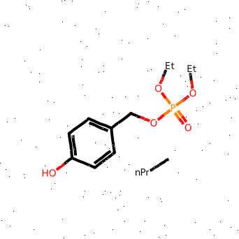 CCCC.CCOP(=O)(OCC)OCc1ccc(O)cc1